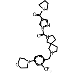 O=C(c1cnn(C(=O)N2CCC3(CCN(Cc4ccc(N5CCOCC5)cc4C(F)(F)F)C3)C2)c1)N1CCCC1